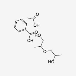 CC(=O)O.CC(O)COC(C)CO.O=C(O)c1ccccc1